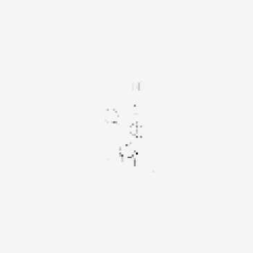 CN(C)CCOCc1c(Cc2ccccc2)c(-c2cc(Cl)nc(N)n2)nn1C